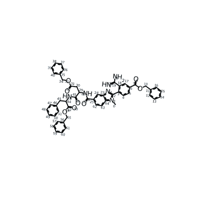 Cn1c(-c2ccc(C(=O)OCc3ccccc3)cc2C(=N)N)nc2cc(C(=O)NC(CC(=O)OCc3ccccc3)C(=O)NC(Cc3ccccc3)C(=O)OCc3ccccc3)ccc21